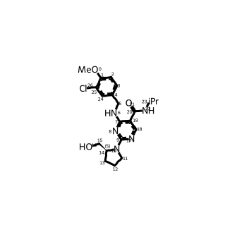 COc1ccc(CNc2nc(N3CCC[C@H]3CO)ncc2C(=O)NC(C)C)cc1Cl